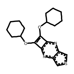 c1scc2nc3c(nc12)C(OC1CCCCC1)=C3OC1CCCCC1